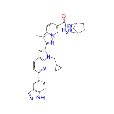 Cc1c(-c2cc3ccc(-c4ccc5[nH]ncc5c4)nc3n2CC2CC2)nn2cc(C(=O)N3CC4CCC3[C@@H]4N)ccc12